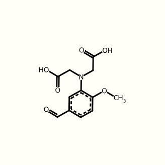 COc1ccc(C=O)cc1N(CC(=O)O)CC(=O)O